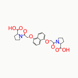 O=C(O)C1CCCN1C(=O)COc1cccc2c(OCC(=O)N3CCCC3C(=O)O)cccc12